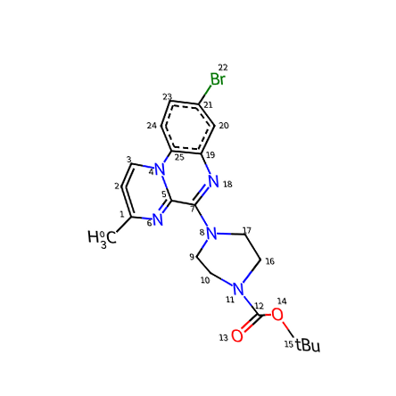 CC1=C=CN2C(=N1)C(N1CCN(C(=O)OC(C)(C)C)CC1)=Nc1cc(Br)ccc12